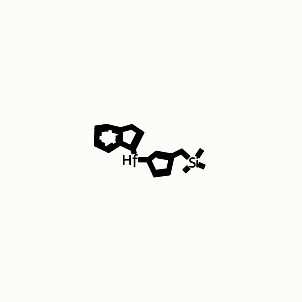 C[Si](C)(C)CC1=C[CH]([Hf][C]2=CCc3ccccc32)C=C1